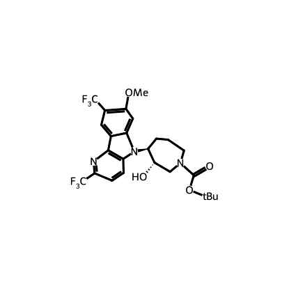 COc1cc2c(cc1C(F)(F)F)c1nc(C(F)(F)F)ccc1n2[C@H]1CCCN(C(=O)OC(C)(C)C)C[C@@H]1O